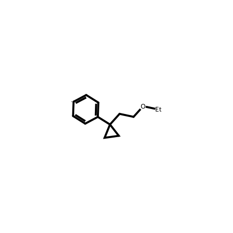 CCOCCC1(c2cc[c]cc2)CC1